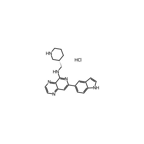 Cl.c1cnc2c(NC[C@H]3CCCNC3)nc(-c3ccc4[nH]ccc4c3)cc2n1